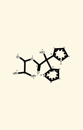 CCCC(CCC)C(CC)OC(=O)C(O)(c1cccs1)c1cccs1